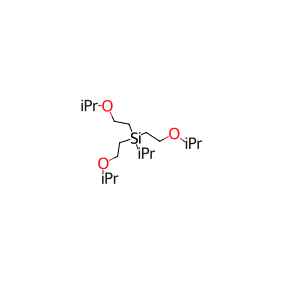 CC(C)OCC[Si](CCOC(C)C)(CCOC(C)C)C(C)C